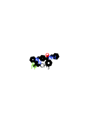 Cc1cc(C(F)(F)F)c2c3c(n(Cc4ccc(C(C(=O)NCc5ccccc5)C5CCCCCC5)cc4)c2n1)CCCC3